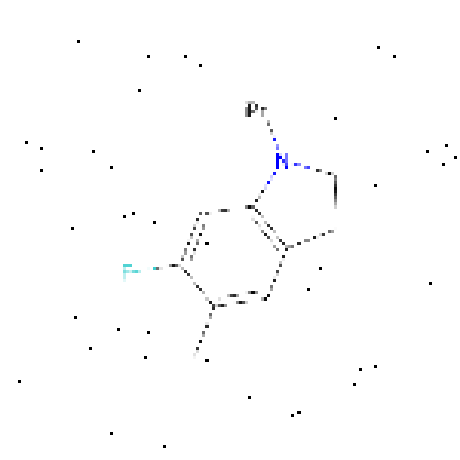 Cc1cc2c(cc1F)N(C(C)C)CC2